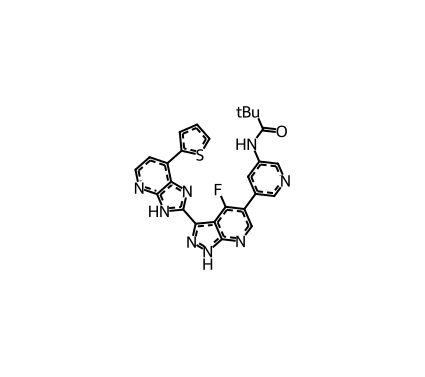 CC(C)(C)C(=O)Nc1cncc(-c2cnc3[nH]nc(-c4nc5c(-c6cccs6)ccnc5[nH]4)c3c2F)c1